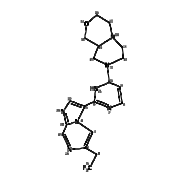 FC(F)(F)Cc1cn2c(C3=NC=CC(N4CCN5CCOCC5C4)N3)cnc2cn1